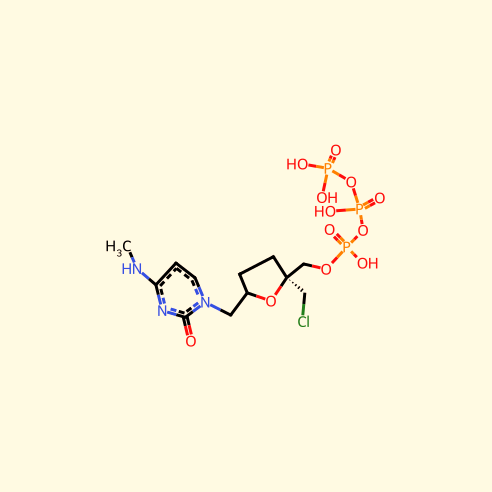 CNc1ccn(CC2CC[C@@](CCl)(COP(=O)(O)OP(=O)(O)OP(=O)(O)O)O2)c(=O)n1